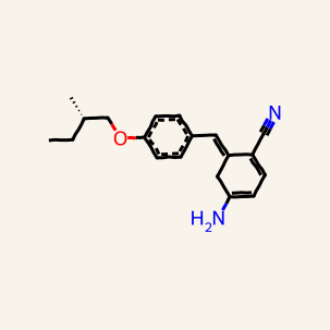 CC[C@H](C)COc1ccc(C=C2CC(N)=CC=C2C#N)cc1